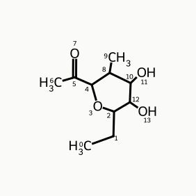 CCC1OC(C(C)=O)C(C)C(O)C1O